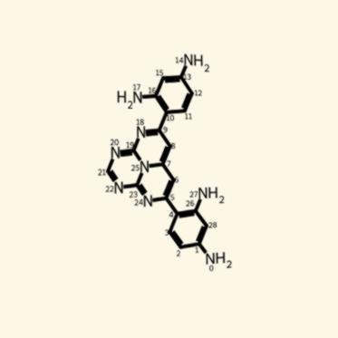 Nc1ccc(C2=CC3=CC(c4ccc(N)cc4N)=NC4=NC=NC(=N2)N34)c(N)c1